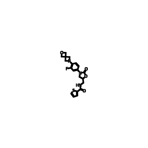 O=C(NCC1CN(c2ccc(N3CC4(COC4)C3)c(F)c2)C(=O)O1)c1cccs1